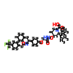 CC(C)(C)C1CC(ONC(=O)COc2ccc(/C(Cc3ccccc3)=N/OCc3ccc(C(F)(F)F)cc3)cc2)CCN1C(=O)O